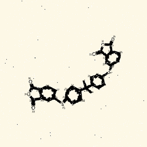 CC(C)(c1ccc(Sc2ccc3c(c2)C(=O)OC3=O)cc1)c1ccc(Sc2ccc3c(c2)C(=O)OC3=O)cc1